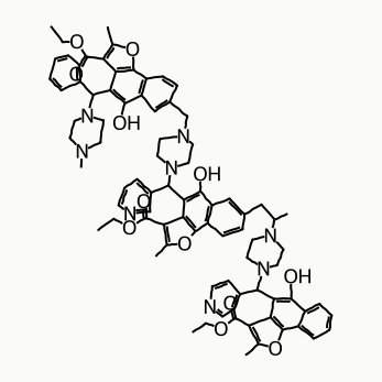 CCOC(=O)c1c(C)oc2c1c(C(c1ccccc1)N1CCN(C)CC1)c(O)c1cc(CN3CCN(C(c4cccnc4)c4c(O)c5cc(CC(C)N6CCN(C(c7ccncc7)c7c(O)c8ccccc8c8oc(C)c(C(=O)OCC)c78)CC6)ccc5c5oc(C)c(C(=O)OCC)c45)CC3)ccc12